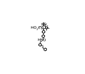 Cc1sc2c(c1C)C(c1ccc(-c3ccc(C(=O)NCCc4cccc(SCc5ccccc5)c4)cc3)cc1)=N[C@@H](CC(=O)O)c1nnc(C)n1-2